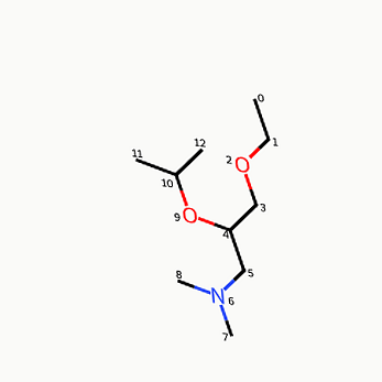 CCOCC(CN(C)C)OC(C)C